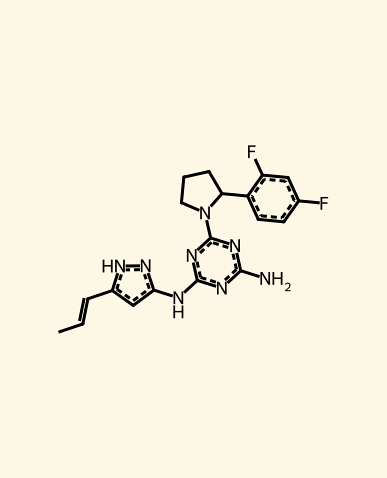 C/C=C/c1cc(Nc2nc(N)nc(N3CCCC3c3ccc(F)cc3F)n2)n[nH]1